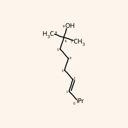 CC(C)/C=C/CCCC(C)(C)O